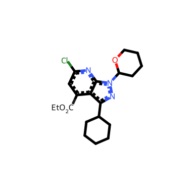 CCOC(=O)c1cc(Cl)nc2c1c(C1CCCCC1)nn2C1CCCCO1